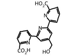 O=C(O)c1cccc(-c2cc(CO)cc(-c3cccc(C(=O)O)n3)n2)n1